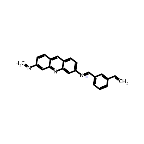 C=Cc1cccc(/C=N/c2ccc3cc4ccc(N=C)cc4nc3c2)c1